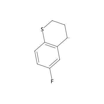 Fc1ccc2c(c1)[CH]CCS2